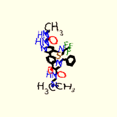 CCNC(=O)Nc1cc(-c2nc(C(F)(F)F)cs2)c(-c2ccc3c(=O)c(C(=O)NCCN(C)C)cn(Cc4ccccc4)c3c2)cn1